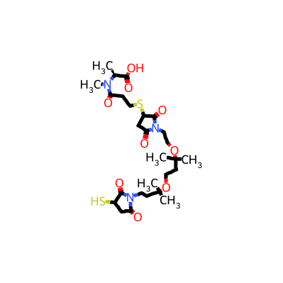 C[C@@H](C(=O)O)N(C)C(=O)CCSC1CC(=O)N(CCOC(C)(C)CCOC(C)(C)CCN2C(=O)CC(S)C2=O)C1=O